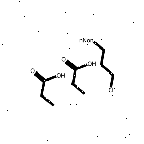 CCC(=O)O.CCC(=O)O.CCCCCCCCCCCCCl